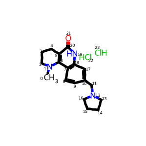 CN1CCCc2c1c1ccc(CN3CCCC3)cc1[nH]c2=O.Cl.Cl